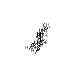 C=CC(=O)NC1CCCCC1Nc1ncc2c(n1)N(CCF)C(=O)N(c1c(Cl)c(OC)cc(OC)c1Cl)C2